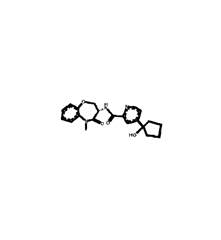 CN1C(=O)[C@@H](NC(=O)c2cc(C3(O)CCCC3)ccn2)COc2ccccc21